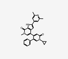 Cc1cc(-c2cc3c(-c4cc(=O)n(C5CC5)cc4-c4ccccc4)cn(C)c(=O)c3[nH]2)cc(C)n1